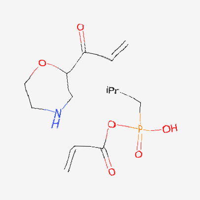 C=CC(=O)C1CNCCO1.C=CC(=O)OP(=O)(O)CC(C)C